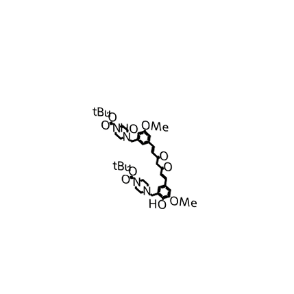 COc1cc(/C=C/C(=O)CC(=O)/C=C/c2cc(CN3CCN(C(=O)OC(C)(C)C)CC3)c(O)c(OC)c2)cc(CN2CCN(C(=O)OC(C)(C)C)CC2)c1O